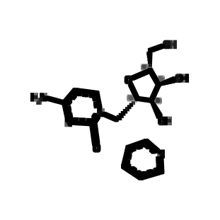 Nc1ccn(C[C@@H]2O[C@H](CO)[C@@H](O)[C@H]2O)c(=O)n1.c1ccncc1